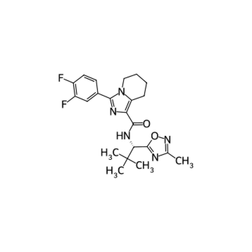 Cc1noc([C@@H](NC(=O)c2nc(-c3ccc(F)c(F)c3)n3c2CCCC3)C(C)(C)C)n1